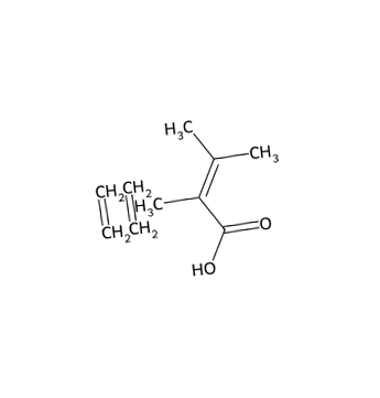 C=C.C=C.CC(C)=C(C)C(=O)O